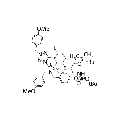 COc1ccc(CN(Cc2ccc(OC)cc2)S(=O)(=O)c2c(S[C@H](CNC(=O)OC(C)(C)C)CO[Si](C)(C)C(C)(C)C)ccc(I)c2-c2nnn(Cc3ccc(OC)cc3)n2)cc1